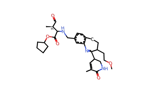 COCCC1CCc2ccc(CNC(C(=O)OC3CCCC3)[C@@H](C)C=O)cc2N=C1C1C=C(C)C(=O)NC1